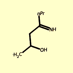 [CH2]C(O)CC(=N)CCC